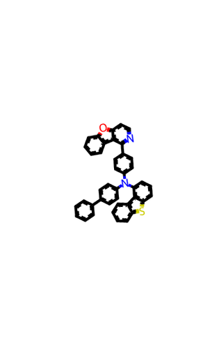 c1ccc(-c2ccc(N(c3ccc(-c4nccc5oc6ccccc6c45)cc3)c3cccc4sc5ccccc5c34)cc2)cc1